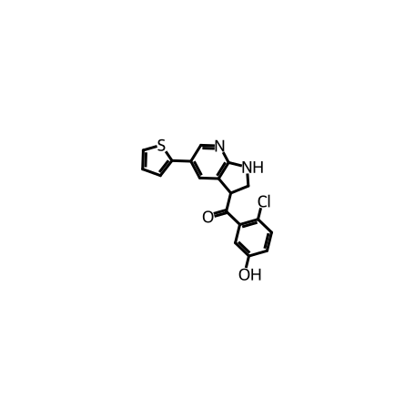 O=C(c1cc(O)ccc1Cl)C1CNc2ncc(-c3cccs3)cc21